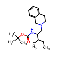 CCC(C)C(CN1CCc2ccccc2C1)NC(=O)OC(C)(C)C